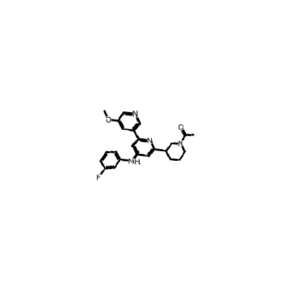 COc1cncc(-c2cc(Nc3cccc(F)c3)cc(C3CCCN(C(C)=O)C3)n2)c1